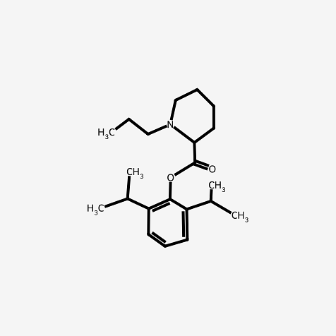 CCCN1CCCCC1C(=O)Oc1c(C(C)C)cccc1C(C)C